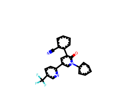 N#Cc1ccccc1-c1cc(-c2ccc(C(F)(F)F)cn2)cn(-c2ccccc2)c1=O